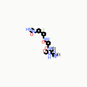 CCc1nc2c(cnn2CC)c(NC2CCOCC2)c1CNC(=O)c1cccc(C(=O)NCc2ccc(F)c(-c3cccc(CN4CCNCC4=O)c3)c2)c1